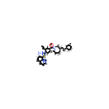 C=Cc1cc(C(=O)N2CCCCC(CCc3ccccc3)CC2)ccc1NSc1cccc2cccnc12